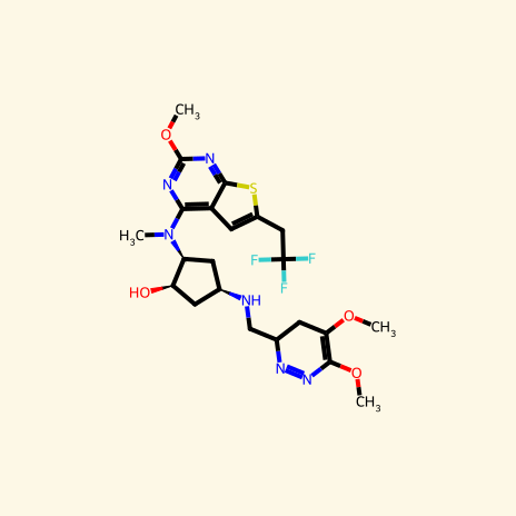 COC1=C(OC)N=NC(CN[C@H]2C[C@@H](O)[C@@H](N(C)c3nc(OC)nc4sc(CC(F)(F)F)cc34)C2)C1